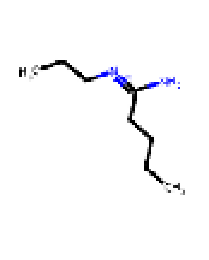 CCCC/C(N)=N\CCC